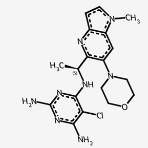 C[C@H](Nc1nc(N)nc(N)c1Cl)c1nc2ccn(C)c2cc1N1CCOCC1